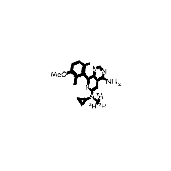 [2H]C([2H])([2H])N(c1cc2c(N)ncnc2c(-c2c(C)ccc(OC)c2C)n1)C1CC1